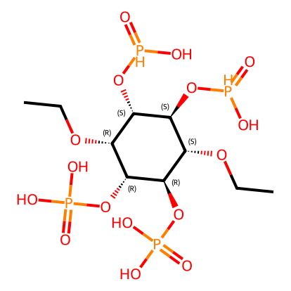 CCO[C@@H]1[C@H](O[PH](=O)O)[C@@H](O[PH](=O)O)[C@H](OCC)[C@@H](OP(=O)(O)O)[C@@H]1OP(=O)(O)O